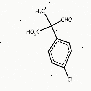 CC(C=O)(C(=O)O)c1ccc(Cl)cc1